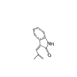 C=C(C)C=C1C(=O)Nc2ccccc21